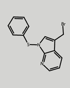 BrCc1cn(Sc2ccccc2)c2ncccc12